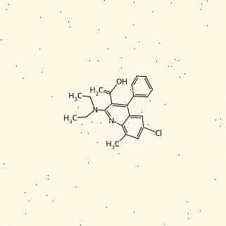 C=C(O)c1c(N(CC)CC)nc2c(C)cc(Cl)cc2c1-c1ccccc1